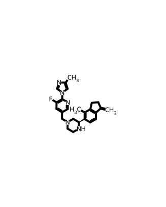 C=C1CCc2c1ccc([C@@H]1CN(Cc3cnc(-n4cnc(C)c4)c(F)c3)CCN1)c2C